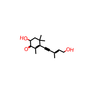 CC(C#CC1=C(C)C(=O)C(O)CC1(C)C)=CCO